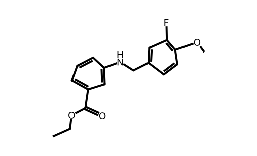 CCOC(=O)c1cccc(NCc2ccc(OC)c(F)c2)c1